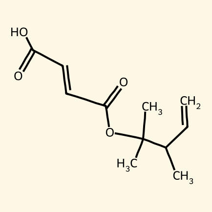 C=CC(C)C(C)(C)OC(=O)C=CC(=O)O